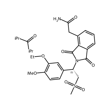 CC(C)C(=O)C(C)C.CCOc1cc([C@@H](CS(C)(=O)=O)N2C(=O)c3cccc(CC(N)=O)c3C2=O)ccc1OC